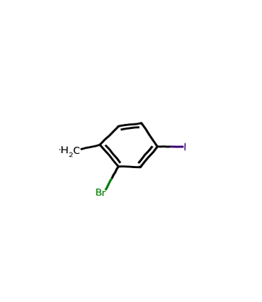 [CH2]c1ccc(I)cc1Br